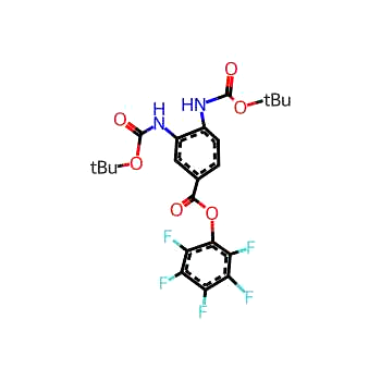 CC(C)(C)OC(=O)Nc1ccc(C(=O)Oc2c(F)c(F)c(F)c(F)c2F)cc1NC(=O)OC(C)(C)C